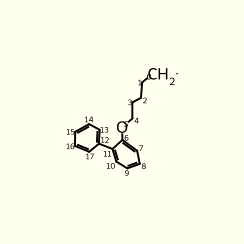 [CH2]CCCCOc1ccccc1-c1ccccc1